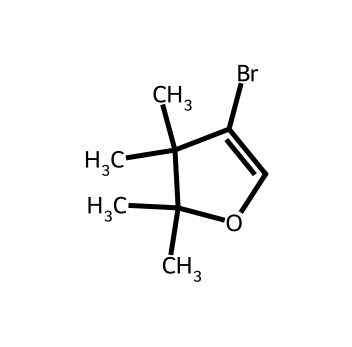 CC1(C)OC=C(Br)C1(C)C